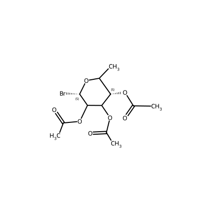 CC(=O)OC1C(OC(C)=O)[C@H](Br)OC(C)[C@@H]1OC(C)=O